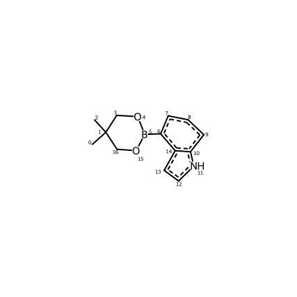 CC1(C)COB(c2cccc3[nH]ccc23)OC1